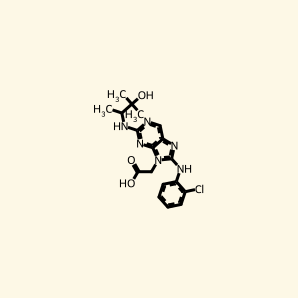 CC(Nc1ncc2nc(Nc3ccccc3Cl)n(CC(=O)O)c2n1)C(C)(C)O